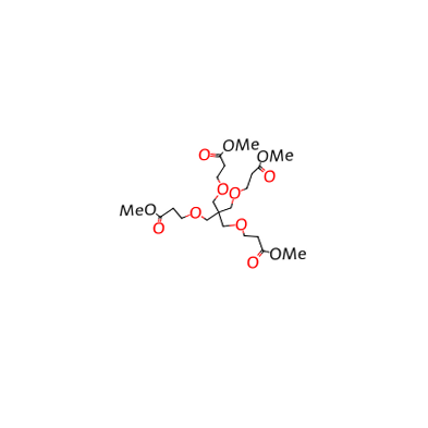 COC(=O)CCOCC(COCCC(=O)OC)(COCCC(=O)OC)COCCC(=O)OC